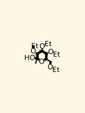 CCOC[C@H]1O[C@](C)(O)[C@H](OCC)[C@@H](OCC)[C@@H]1OCC